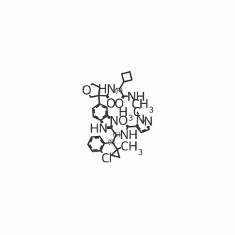 CNC(=O)[C@H](NC(=O)C1(c2ccc3[nH]c([C@@H](NC(=O)c4ccnn4C)[C@H](c4ccccc4Cl)C4(C)CC4)nc3c2)CCOC1)C1CCC1